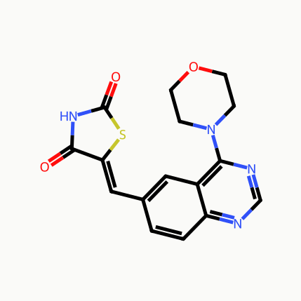 O=C1NC(=O)C(=Cc2ccc3ncnc(N4CCOCC4)c3c2)S1